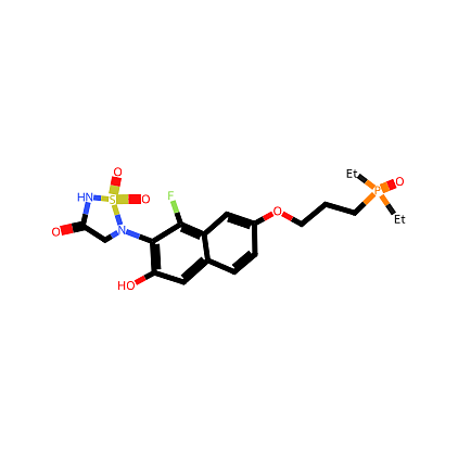 CCP(=O)(CC)CCCOc1ccc2cc(O)c(N3CC(=O)NS3(=O)=O)c(F)c2c1